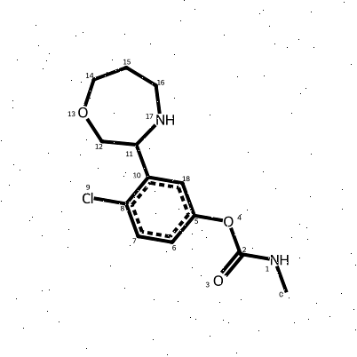 CNC(=O)Oc1ccc(Cl)c(C2COCCCN2)c1